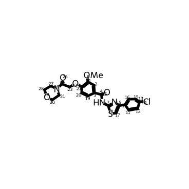 COc1cc(C(=O)Nc2nc(-c3ccc(Cl)cc3)cs2)ccc1OCC(=O)N1CCOCC1